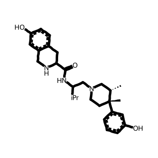 CC(C)C(CN1CC[C@@](C)(c2cccc(O)c2)[C@@H](C)C1)NC(=O)C1Cc2ccc(O)cc2CN1